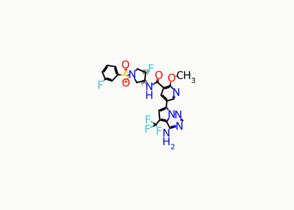 COc1ncc(-c2cc(C(F)(F)F)c3c(N)ncnn23)cc1C(=O)N[C@@H]1CN(S(=O)(=O)c2cccc(F)c2)C[C@@H]1F